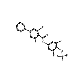 O=C(Oc1cc(F)c(OC(F)(F)F)c(F)c1)c1c(F)cc(-c2ncccn2)cc1F